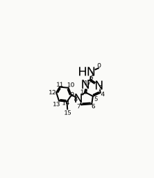 CNc1ncc2ccn(-c3ccccc3C)c2n1